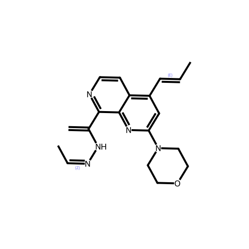 C=C(N/N=C\C)c1nccc2c(/C=C/C)cc(N3CCOCC3)nc12